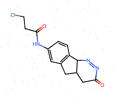 O=C1CC2Cc3cc(NC(=O)CCCl)ccc3C2N=N1